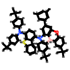 Cc1cc(C)cc(-c2cc3c4c(c2)N(c2ccc(N(c5ccc(C(C)(C)C)cc5)c5ccc(C(C)(C)C)cc5)c5sc6ccccc6c25)c2ccc(C(C)(C)C)cc2B4c2cc(C(C)(C)C)ccc2O3)c1